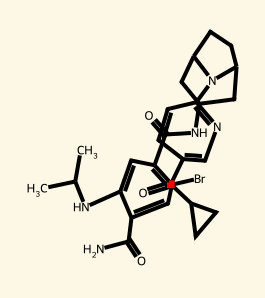 CC(C)Nc1cc(C(=O)NC2CC3CCC(C2)N3c2ccc(C(=O)C3CC3)cn2)c(Br)cc1C(N)=O